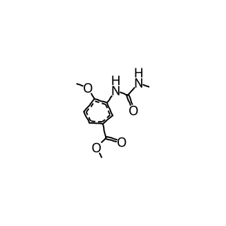 CNC(=O)Nc1cc(C(=O)OC)ccc1OC